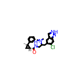 CN(C)C(CNC(=O)[C@@H]1C[C@@]1(C)c1ccccc1)Cc1cc2c[nH]nc2cc1Cl